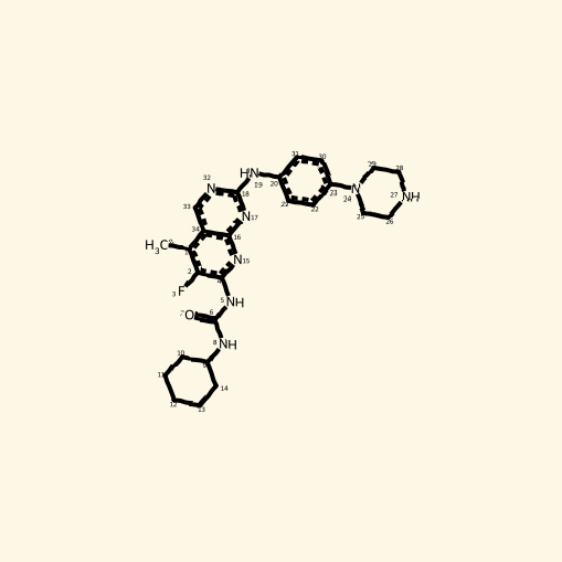 Cc1c(F)c(NC(=O)NC2CCCCC2)nc2nc(Nc3ccc(N4CCNCC4)cc3)ncc12